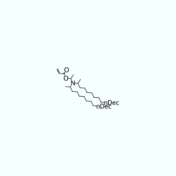 C=CC(=O)OC(C)N(C(C)CCCCCCCCCCCCCCCCC)C(C)CCCCCCCCCCCCCCCCC